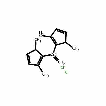 [CH2]=[Zr+2]([C]1=C(C)C=CC1C)[C]1=C(C)C=CC1C.[Cl-].[Cl-]